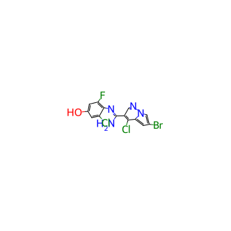 N/C(=N\c1c(F)cc(O)cc1Cl)c1cnn2cc(Br)cc2c1Cl